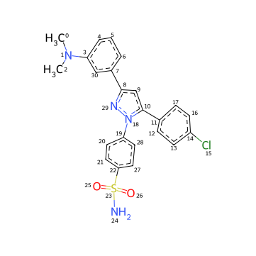 CN(C)c1cccc(-c2cc(-c3ccc(Cl)cc3)n(-c3ccc(S(N)(=O)=O)cc3)n2)c1